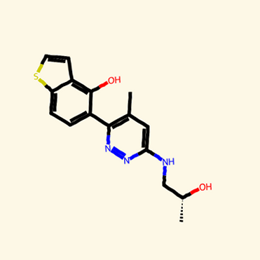 Cc1cc(NC[C@@H](C)O)nnc1-c1ccc2sccc2c1O